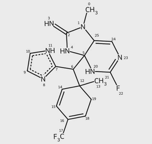 CN1C(=N)NC2(C(c3ncc[nH]3)C3(C)C=CC(C(F)(F)F)=CC3)NC(F)=NC=C12